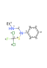 CCNCN(SC(F)(Cl)Cl)c1ccccc1